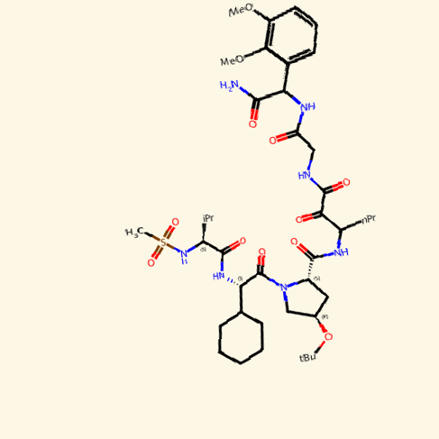 CCCC(NC(=O)[C@@H]1C[C@@H](OC(C)(C)C)CN1C(=O)[C@@H](NC(=O)[C@@H](NS(C)(=O)=O)C(C)C)C1CCCCC1)C(=O)C(=O)NCC(=O)NC(C(N)=O)c1cccc(OC)c1OC